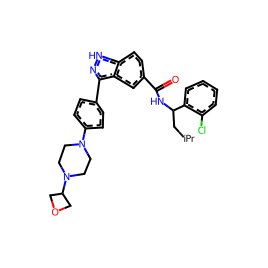 CC(C)CC(NC(=O)c1ccc2[nH]nc(-c3ccc(N4CCN(C5COC5)CC4)cc3)c2c1)c1ccccc1Cl